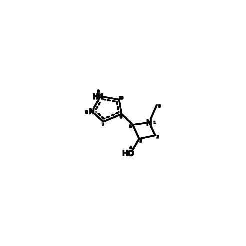 CN1CC(O)C1c1cn[nH]c1